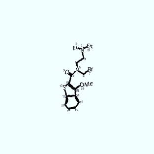 CCN(CC)CCN(CBr)C(=O)c1sc2ccccc2c1OC